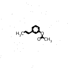 C/C=C/c1cccc(OC(C)=O)c1